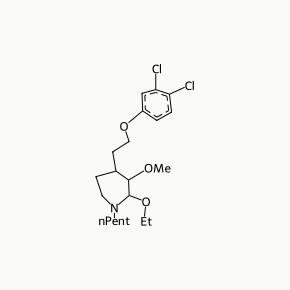 CCCCCN1CCC(CCOc2ccc(Cl)c(Cl)c2)C(OC)C1OCC